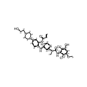 C=CC(=O)Nc1cc(N2CCN(CCO)CC2)ccc1Nc1cc(N(C)C(=O)Nc2c(Cl)c(O)cc(OC)c2Cl)ncn1